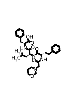 CC(C)C[C@H](NC(=O)[C@H](CCc1ccccc1)NC(=O)CN1CCCOC1)C(=O)N[C@@H](Cc1ccccc1)C(=O)O